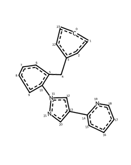 c1ccc(Cc2ccccc2-n2cc(-c3ccccn3)cn2)cc1